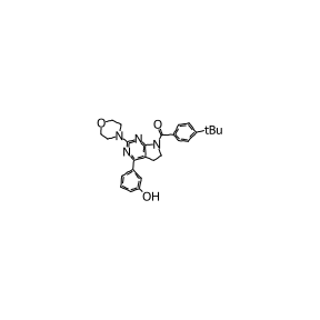 CC(C)(C)c1ccc(C(=O)N2CCc3c(-c4cccc(O)c4)nc(N4CCOCC4)nc32)cc1